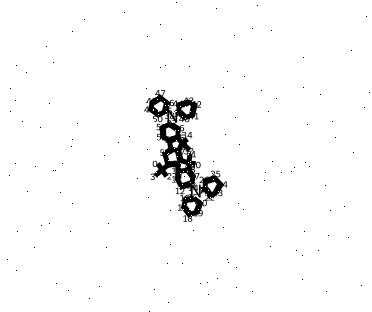 CC(C)(C)c1cc2c(c3c1-c1ccc(N(c4ccccc4)c4ccccc4)cc1C3(C)C)C(C)(C)c1cc(N(c3ccccc3)c3ccccc3)ccc1-2